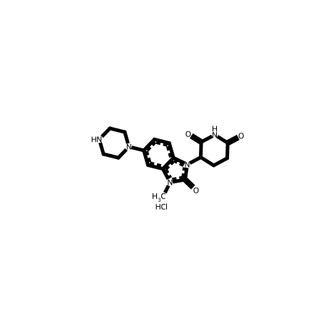 Cl.Cn1c(=O)n(C2CCC(=O)NC2=O)c2ccc(N3CCNCC3)cc21